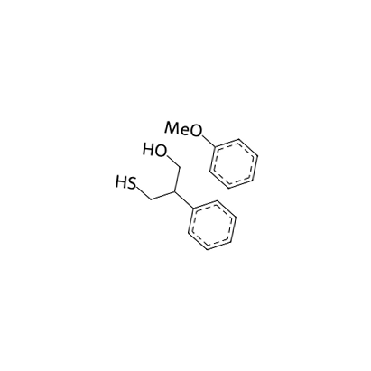 COc1ccccc1.OCC(CS)c1ccccc1